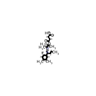 CC=C/C(=C\N=C(/C)C(C)(C)OC(=O)CCC(=O)O)c1cc(C)c(C)cc1F